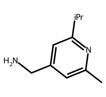 Cc1cc(CN)cc(C(C)C)n1